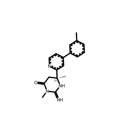 Cc1cccc(-c2ccnc([C@]3(C)CC(=O)N(C)C(=N)N3)c2)c1